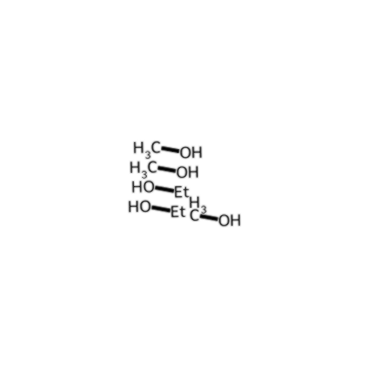 CCO.CCO.CO.CO.CO